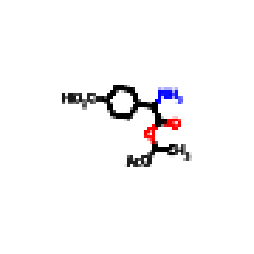 CC(=O)OC(C)OC(=O)C(N)C1CCC(C(=O)O)CC1